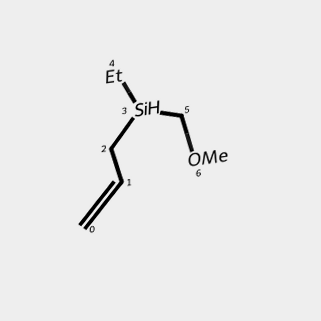 C=CC[SiH](CC)COC